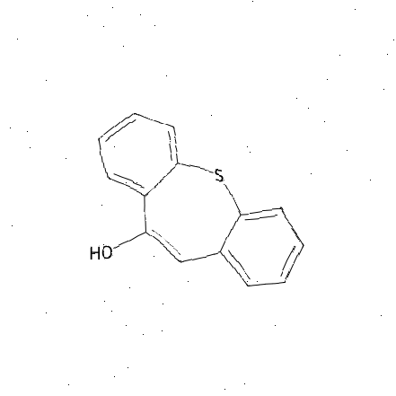 OC1=Cc2ccccc2Sc2ccccc21